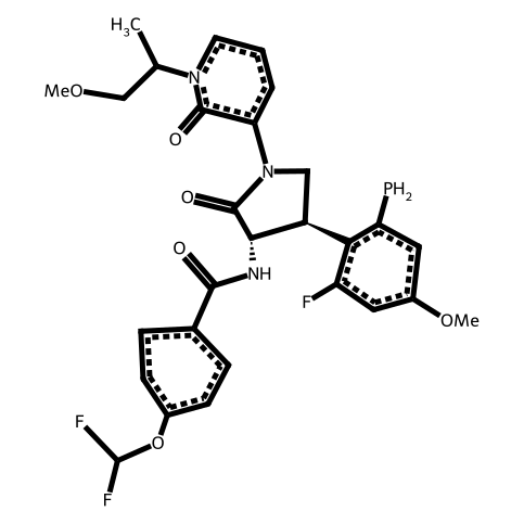 COCC(C)n1cccc(N2C[C@@H](c3c(F)cc(OC)cc3P)[C@H](NC(=O)c3ccc(OC(F)F)cc3)C2=O)c1=O